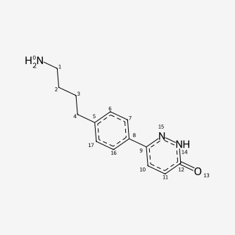 NCCCCc1ccc(-c2ccc(=O)[nH]n2)cc1